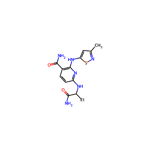 CCC(Nc1ccc(C(N)=O)c(Nc2cc(C)ns2)n1)C(N)=O